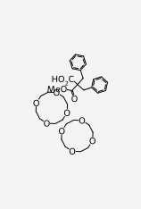 C1COCCOCCOCCO1.C1COCCOCCOCCO1.COC(=O)C(Cc1ccccc1)(Cc1ccccc1)C(=O)O